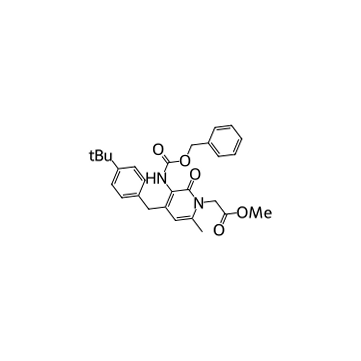 COC(=O)Cn1c(C)cc(Cc2ccc(C(C)(C)C)cc2)c(NC(=O)OCc2ccccc2)c1=O